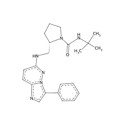 CC(C)(C)NC(=O)N1CCC[C@H]1CNc1ccc2ncc(-c3ccccc3)n2n1